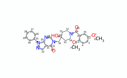 COc1ccc(OC)c(C(=O)N2CCC(O)(Cn3cnc4c(cnn4-c4ccccc4)c3=O)CC2)c1